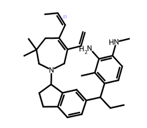 C=CC1=C(/C=C\C)CC(C)(C)CN(C2CCc3ccc(C(CC)c4ccc(NC)c(N)c4C)cc32)C1